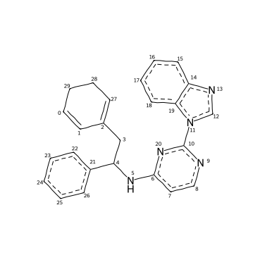 C1=CC(CC(Nc2ccnc(-n3cnc4ccccc43)n2)c2ccccc2)=CCC1